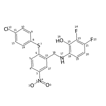 O=[N+]([O-])c1ccc(Sc2ccc(Cl)cc2)c(CNc2ccc(F)c(F)c2O)c1